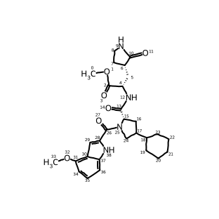 COC(=O)[C@H](C[C@@H]1CCNC1=O)NC(=O)[C@@H]1CC(C2CCCCC2)CN1C(=O)c1cc2c(OC)cccc2[nH]1